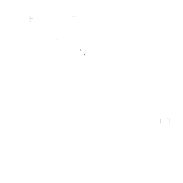 CCC1(CC)Cc2ccc(C)cc2C2C=C(CC(C)C)C(C)=CN21